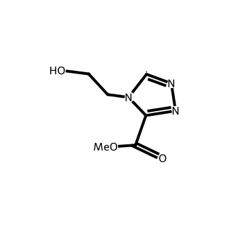 COC(=O)c1nn[c]n1CCO